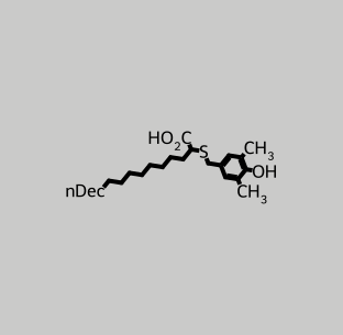 CCCCCCCCCCCCCCCCCCC(SCc1cc(C)c(O)c(C)c1)C(=O)O